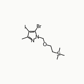 Cc1nn(COCC[Si](C)(C)C)c(Br)c1I